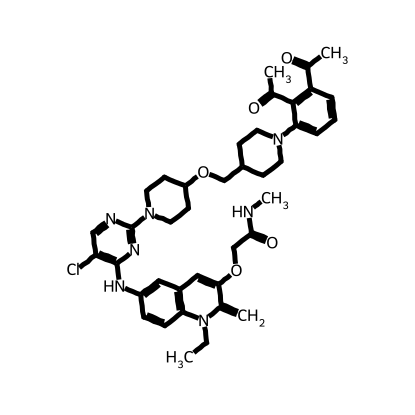 C=C1C(OCC(=O)NC)=Cc2cc(Nc3nc(N4CCC(OCC5CCN(c6cccc(C(C)=O)c6C(C)=O)CC5)CC4)ncc3Cl)ccc2N1CC